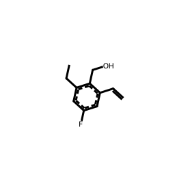 C=Cc1cc(F)cc(CC)c1CO